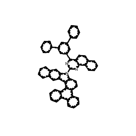 c1ccc(-c2cc(-c3ccccc3)cc(-c3nc(-n4c5cc6ccccc6cc5c5c6c7ccccc7c7ccccc7c6ccc54)nc4c3ccc3ccccc34)c2)cc1